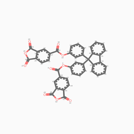 O=C(Oc1cccc(C2(c3cccc(OC(=O)c4ccc5c(c4)C(=O)OC5=O)c3)c3ccccc3-c3ccccc32)c1)c1ccc2c(c1)C(=O)OC2=O